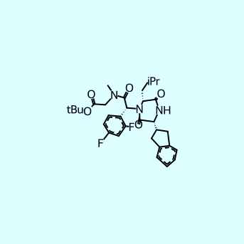 CC(C)C[C@@H]1C(=O)N[C@H](C2Cc3ccccc3C2)C(=O)N1[C@@H](C(=O)N(C)CC(=O)OC(C)(C)C)c1ccc(F)cc1F